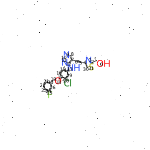 OCc1nc(C#Cc2cncnc2Nc2ccc(OCc3cccc(F)c3)c(Cl)c2)cs1